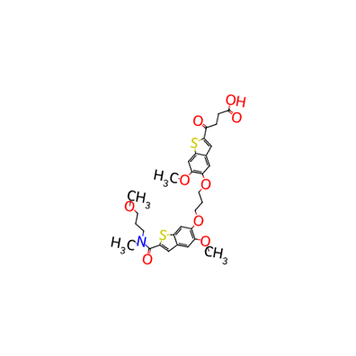 COCCCN(C)C(=O)c1cc2cc(OC)c(OCCCOc3cc4cc(C(=O)CCC(=O)O)sc4cc3OC)cc2s1